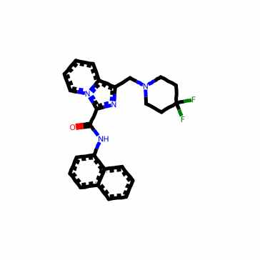 O=C(Nc1cccc2ccccc12)c1nc(CN2CCC(F)(F)CC2)c2ccccn12